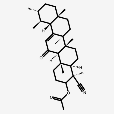 CC(=O)OC1CC[C@@]2(C)[C@@H](CC[C@]3(C)[C@@H]2C(=O)C=C2[C@@H]4[C@@H](C)[C@H](C)CC[C@]4(C)CC[C@]23C)[C@@]1(C)C#N